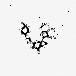 CC(=O)OC[C@H]1O[C@@H](n2cnc3c(=O)[nH]c(NCSc4ccc(C)cc4)nc32)[C@H](OC(C)=O)[C@@H]1OC(C)=O